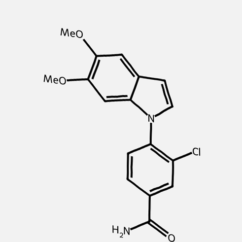 COc1cc2ccn(-c3ccc(C(N)=O)cc3Cl)c2cc1OC